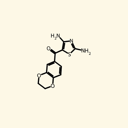 Nc1nc(N)c(C(=O)c2ccc3c(c2)OCCO3)s1